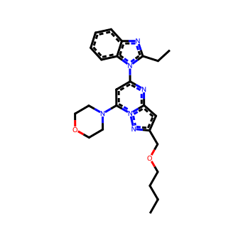 CCCCOCc1cc2nc(-n3c(CC)nc4ccccc43)cc(N3CCOCC3)n2n1